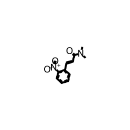 CN(C)C(=O)C=Cc1ccccc1[N+](=O)[O-]